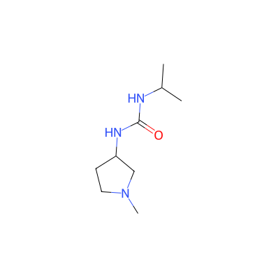 CC(C)NC(=O)NC1CCN(C)C1